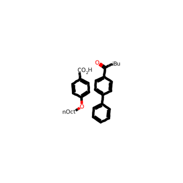 CCC(C)C(=O)c1ccc(-c2ccccc2)cc1.CCCCCCCCOc1ccc(C(=O)O)cc1